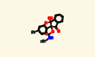 CCCNC(=O)OC12C(=O)c3ccccc3C1(O)Oc1cc(C(C)C)ccc12